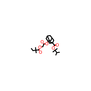 CCC(C)(C)C(=O)OCC(=O)OC12CC3CC(C1)CC(C(=O)OC(C)(C)C(C)C)(C3)C2